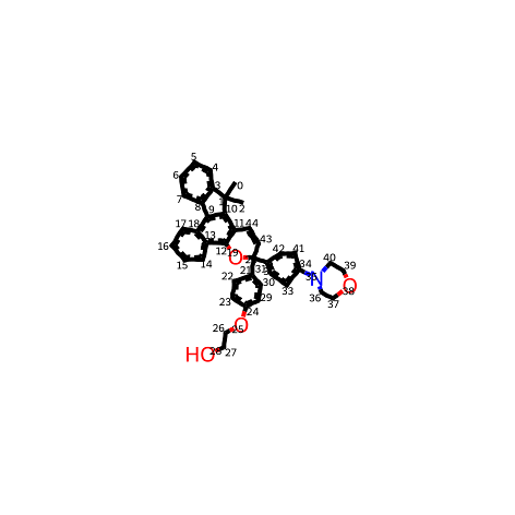 CC1(C)c2ccccc2-c2c1c1c(c3ccccc23)OC(c2ccc(OCCO)cc2)(c2ccc(N3CCOCC3)cc2)C=C1